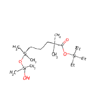 CC[Si](CC)(CC)OC(=O)C(C)(C)CCC[Si](C)(C)O[Si](C)(C)O